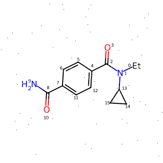 CCN(C(=O)c1ccc(C(N)=O)cc1)C1CC1